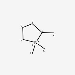 CC1CCC[N+]1(C)C